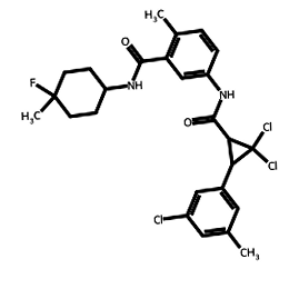 Cc1cc(Cl)cc(C2C(C(=O)Nc3ccc(C)c(C(=O)NC4CCC(C)(F)CC4)c3)C2(Cl)Cl)c1